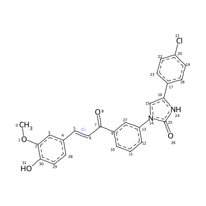 COc1cc(/C=C/C(=O)c2cccc(-n3cc(-c4ccc(Cl)cc4)[nH]c3=O)c2)ccc1O